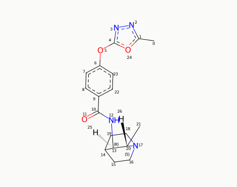 Cc1nnc(Oc2ccc(C(=O)N[C@@H]3C4CCN(CC4)[C@H]3C)cc2)o1